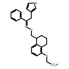 O=C(O)COc1cccc2c1CCCC2CO/N=C(\Cc1cc[nH]c1)c1ccccc1